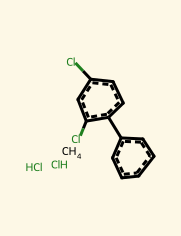 C.Cl.Cl.Clc1ccc(-c2ccccc2)c(Cl)c1